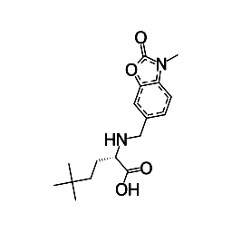 Cn1c(=O)oc2cc(CN[C@@H](CCC(C)(C)C)C(=O)O)ccc21